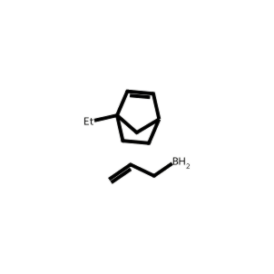 BCC=C.CCC12C=CC(CC1)C2